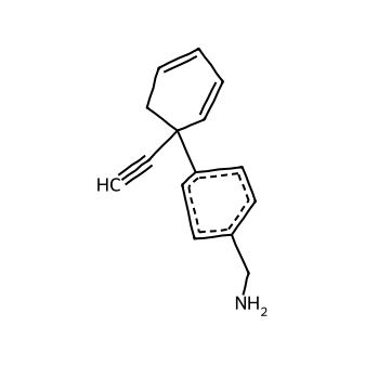 C#CC1(c2ccc(CN)cc2)C=CC=CC1